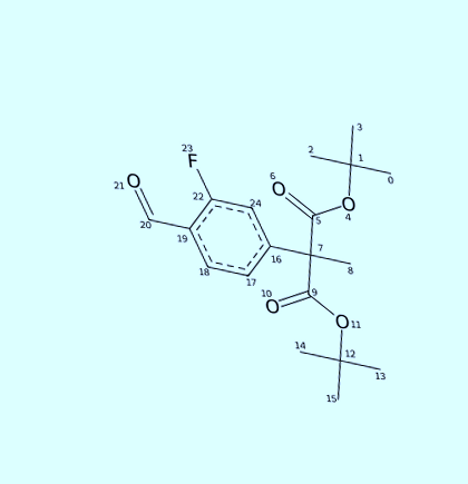 CC(C)(C)OC(=O)C(C)(C(=O)OC(C)(C)C)c1ccc(C=O)c(F)c1